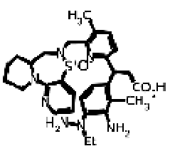 CCN(N)c1ccc(C(CC(=O)O)c2ccc(C)c(CN3CC4CCCCN4c4ncccc4[S+]3[O-])n2)c(C)c1N